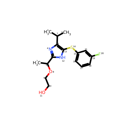 CC(C)c1nc(C(C)OCCO)[nH]c1Sc1cccc(F)c1